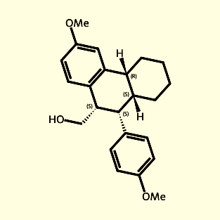 COc1ccc([C@H]2[C@H]3CCCC[C@H]3c3cc(OC)ccc3[C@H]2CO)cc1